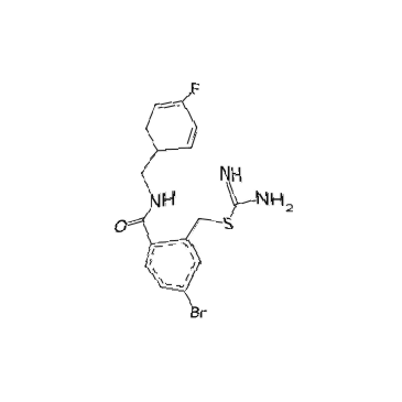 N=C(N)SCc1cc(Br)ccc1C(=O)NCC1C=CC(F)=CC1